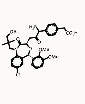 COc1cccc([C@H]2O[C@H](CC(=O)C(N)c3ccc(CC(=O)O)cc3)C(=O)N(CC(C)(C)COC(C)=O)c3ccc(Cl)cc32)c1OC